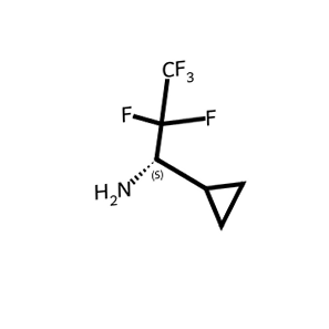 N[C@@H](C1CC1)C(F)(F)C(F)(F)F